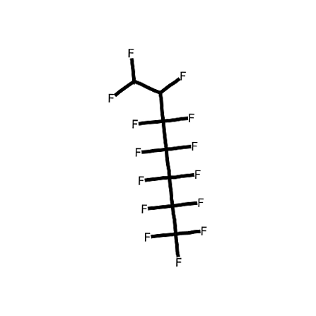 F[C](F)C(F)C(F)(F)C(F)(F)C(F)(F)C(F)(F)C(F)(F)F